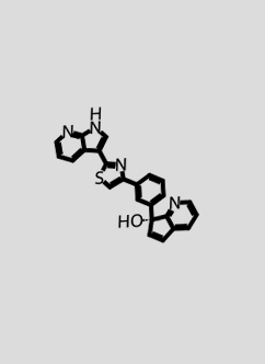 O[C@@]1(c2cccc(-c3csc(-c4c[nH]c5ncccc45)n3)c2)C=Cc2cccnc21